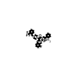 Cc1c(N2CCN(Cc3ccccc3C(F)(F)F)CC2)c(=O)n(C[C@H](N)c2ccccc2)c(=O)n1Cc1c(F)cccc1F